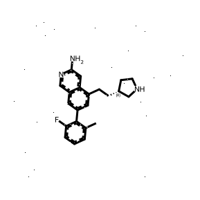 Cc1cccc(F)c1-c1cc(CC[C@@H]2CCNC2)c2cc(N)ncc2c1